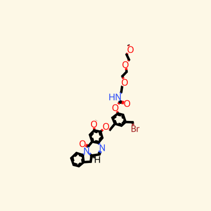 COCCOCCOCCNC(=O)Oc1cc(CBr)cc(COc2cc3c(cc2OC)C(=O)N2c4ccccc4C[C@H]2C=N3)c1